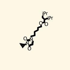 CC(C)CC(C(=O)OCCCCCCn1ccc(=O)n(C2CC2)c1=O)C(C)C